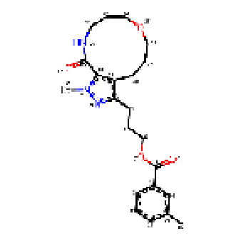 CCn1nc(CCCOC(=O)c2cccc(C)c2)c2c1C(=O)NCCCOCCC2